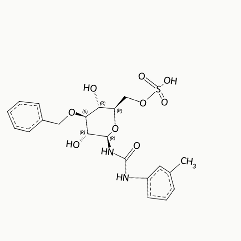 Cc1cccc(NC(=O)N[C@@H]2O[C@H](COS(=O)(=O)O)[C@@H](O)[C@H](OCc3ccccc3)[C@H]2O)c1